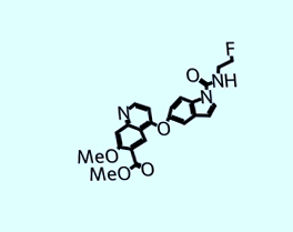 COC(=O)c1cc2c(Oc3ccc4c(ccn4C(=O)NCCF)c3)ccnc2cc1OC